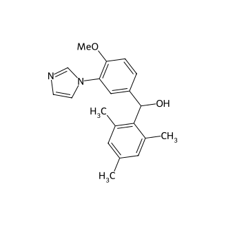 COc1ccc(C(O)c2c(C)cc(C)cc2C)cc1-n1ccnc1